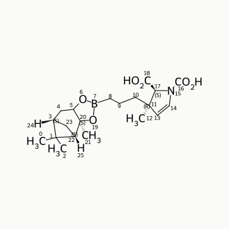 CC1(C)[C@@H]2CC3OB(CCC[C@]4(C)C=CN(C(=O)O)[C@@H]4C(=O)O)O[C@@]3(C)[C@H]1C2